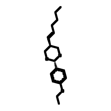 CCCC/C=C/[C@H]1CO[C@H](c2ccc(OCC)cc2)OC1